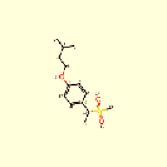 CC(C)CCOc1ccc(C(C)S(C)(=O)=O)cc1